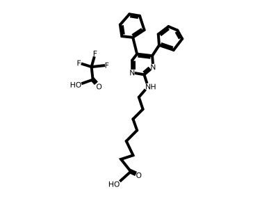 O=C(O)C(F)(F)F.O=C(O)CCCCCCCNc1ncc(-c2ccccc2)c(-c2ccccc2)n1